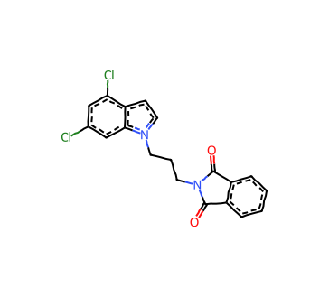 O=C1c2ccccc2C(=O)N1CCCn1ccc2c(Cl)cc(Cl)cc21